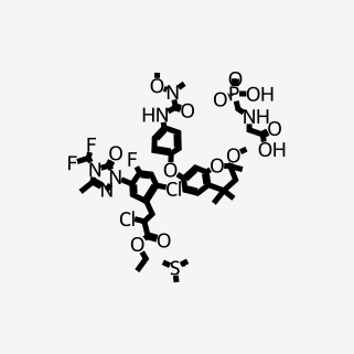 CCOC(=O)C(Cl)Cc1cc(-n2nc(C)n(C(F)F)c2=O)c(F)cc1Cl.CON(C)C(=O)Nc1ccc(Oc2ccc3c(c2)OC(C)(OC)CC3(C)C)cc1.C[S+](C)C.O=C(O)CNCP(=O)([O-])O